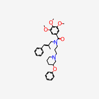 COc1cc(C(=O)N(CCCN2CCCC(Oc3ccccc3)C2)CC(C)=Cc2ccccc2)cc(OC)c1OC